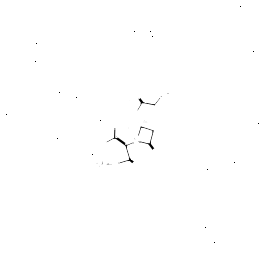 C=C(CBr)S[C@@H]1CC(=O)N1C(C(=O)OC)=C(C)C